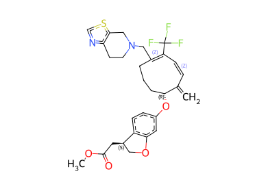 C=C1/C=C\C(C(F)(F)F)=C(\CN2CCc3ncsc3C2)CCC[C@H]1Oc1ccc2c(c1)OC[C@H]2CC(=O)OC